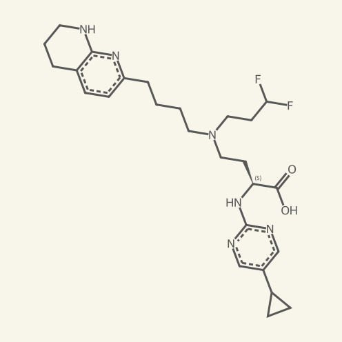 O=C(O)[C@H](CCN(CCCCc1ccc2c(n1)NCCC2)CCC(F)F)Nc1ncc(C2CC2)cn1